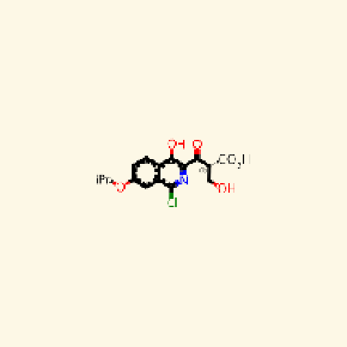 CC(C)Oc1ccc2c(O)c(C(=O)[C@@H](CO)C(=O)O)nc(Cl)c2c1